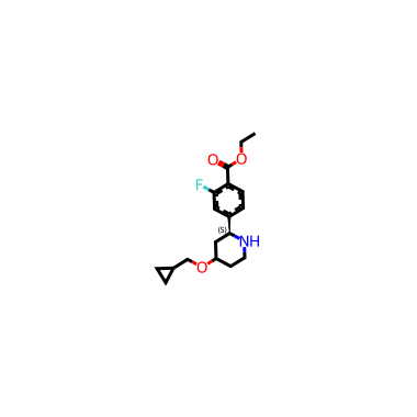 CCOC(=O)c1ccc([C@@H]2CC(OCC3CC3)CCN2)cc1F